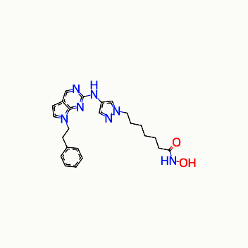 O=C(CCCCCCn1cc(Nc2ncc3ccn(CCc4ccccc4)c3n2)cn1)NO